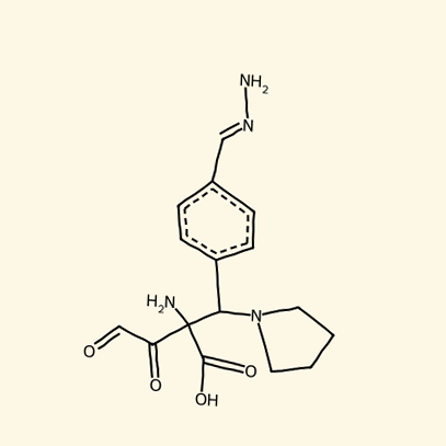 NN=Cc1ccc(C(N2CCCC2)C(N)(C(=O)O)C(=O)C=O)cc1